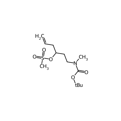 C=CCC(CCN(C)C(=O)OC(C)(C)C)OS(C)(=O)=O